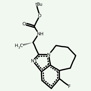 C[C@H](NC(=O)OC(C)(C)C)c1nc2ccc(F)c3c2n1CCCC3